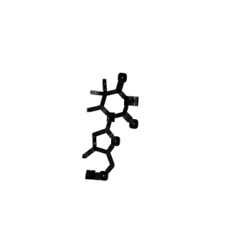 COCC1OC(N2C(=O)NC(=O)C(C)(C)C2C)CC1C